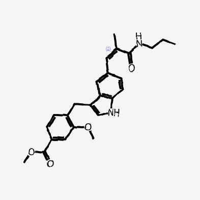 CCCNC(=O)/C(C)=C\c1ccc2[nH]cc(Cc3ccc(C(=O)OC)cc3OC)c2c1